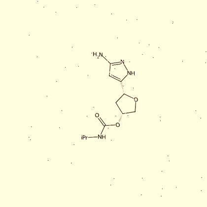 CC(C)NC(=O)O[C@H]1CO[C@@H](c2cc(N)n[nH]2)C1